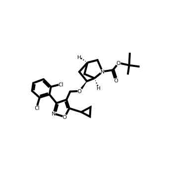 CC(C)(C)OC(=O)N1C[C@@H]2C[C@H](OCc3c(-c4c(Cl)cccc4Cl)noc3C3CC3)[C@H]1C2